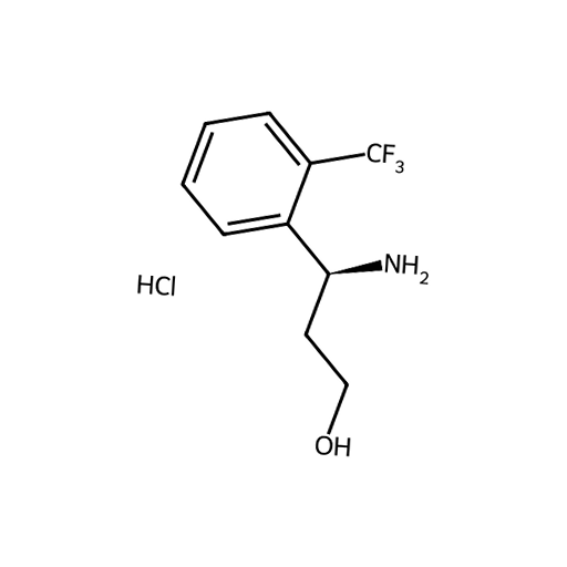 Cl.N[C@@H](CCO)c1ccccc1C(F)(F)F